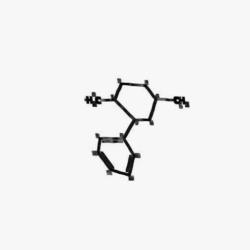 [CH2]C1CCC(C)CC1c1ccccc1